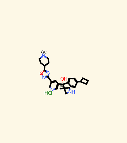 CC(=O)N1CCC(c2nc(-c3cncc([C@@](O)(c4ccc(C5CCC5)cc4)C4(C)CNC4)c3)no2)CC1.Cl